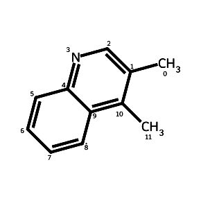 Cc1cnc2ccc[c]c2c1C